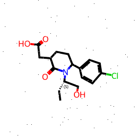 CC[C@@H](CO)N1C(=O)C(CC(=O)O)CCC1c1ccc(Cl)cc1